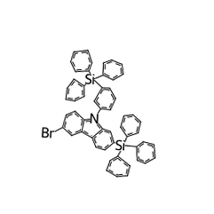 Brc1ccc2c(c1)c1ccc([Si](c3ccccc3)(c3ccccc3)c3ccccc3)cc1n2-c1cccc([Si](c2ccccc2)(c2ccccc2)c2ccccc2)c1